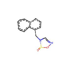 O=S1ON=CN1Cc1cccc2ccccc12